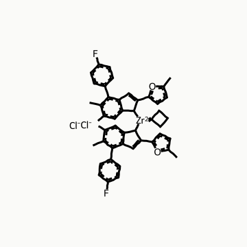 Cc1ccc(C2=Cc3c(cc(C)c(C)c3-c3ccc(F)cc3)[CH]2[Zr+2](=[C]2CCC2)[CH]2C(c3ccc(C)o3)=Cc3c2cc(C)c(C)c3-c2ccc(F)cc2)o1.[Cl-].[Cl-]